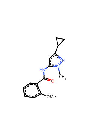 COc1ccccc1C(=O)Nc1cc(C2CC2)nn1C